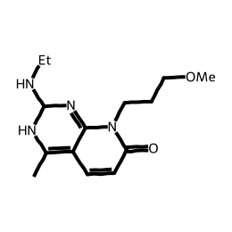 CCNC1N=c2c(ccc(=O)n2CCCOC)=C(C)N1